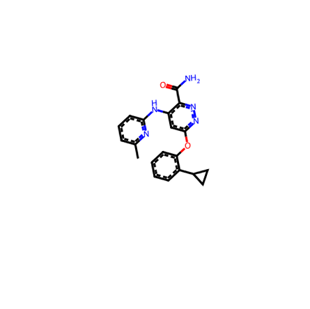 Cc1cccc(Nc2cc(Oc3ccccc3C3CC3)nnc2C(N)=O)n1